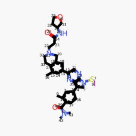 Cc1cc(-c2cn(SI)c3ncc(-c4cc(C)c5c(c4)CN(CCC(=O)NC4CCOC4)CC5)nc23)ccc1C(=O)N(C)C